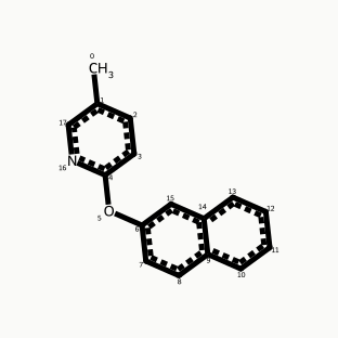 Cc1ccc(Oc2ccc3ccccc3c2)nc1